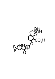 O=C(O)c1c(OC2CN(C(=O)[C@@H]3CC(F)(F)CN3)C2)ccc2c1O[B-](O)(O)CC2